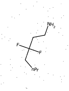 CCCCC(F)(F)CCN